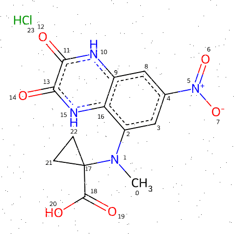 CN(c1cc([N+](=O)[O-])cc2[nH]c(=O)c(=O)[nH]c12)C1(C(=O)O)CC1.Cl